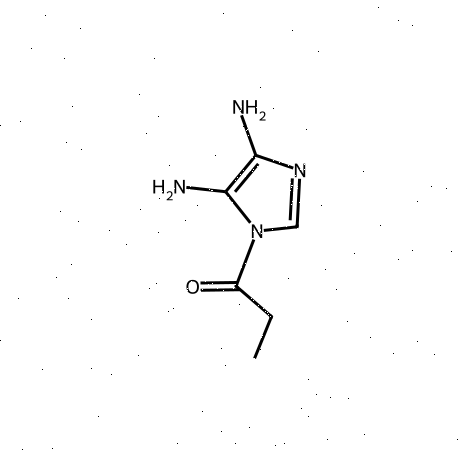 CCC(=O)n1cnc(N)c1N